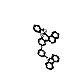 c1cc(-c2ccc3c(c2)c2ccc4ccccc4c2c2nc4ccccc4n32)cc(-n2c3ccccc3c3ccccc32)c1